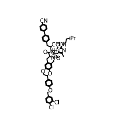 Cc1nc(NCCC(C)C)sc1S(=O)(=O)N1Cc2cc3c(cc2CC1C(=O)NC(Cc1ccc(-c2ccc(C#N)cc2)cc1)C(=O)O)OCC(c1ccc(OCc2ccc(Cl)c(Cl)c2)cc1)O3